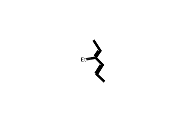 [CH2]CC(/C=C/C)=C\C